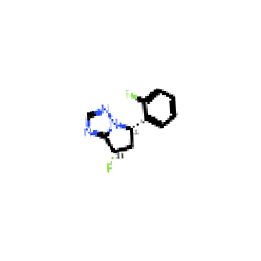 Fc1ccccc1[C@@H]1C[C@H](F)c2ncnn21